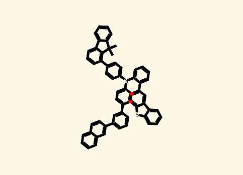 CC1(C)c2ccccc2-c2cccc(-c3ccc(N(c4ccc(-c5cccc(-c6ccc7ccccc7c6)c5)cc4)c4ccccc4-c4ccc5sc6ccccc6c5c4)cc3)c21